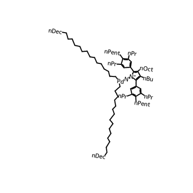 CCCCCCCCC1=C(c2cc(CCC)c(CCCCC)c(CCC)c2)[N+](=[N-])C(c2cc(CCC)c(CCCCC)c(CCC)c2)=C1CCCC.CCCCCCCCCCCCCCCCCCCCCCCC[CH2][Pd][CH2]CCCCCCCCCCCCCCCCCCCCCCCC